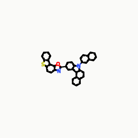 c1ccc2cc(-n3c4ccc(-c5nc6ccc7sc8ccccc8c7c6o5)cc4c4c5ccccc5ccc43)ccc2c1